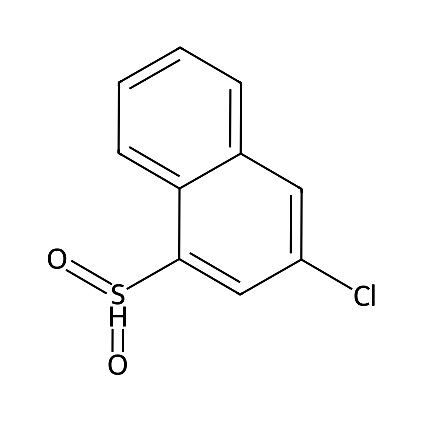 O=[SH](=O)c1cc(Cl)cc2ccccc12